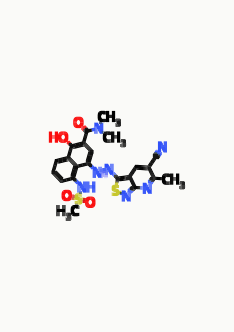 Cc1nc2nsc(/N=N/c3cc(C(=O)N(C)C)c(O)c4cccc(NS(C)(=O)=O)c34)c2cc1C#N